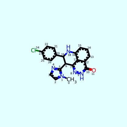 Cn1ccnc1C1c2n[nH]c(=O)c3cccc(c23)NC1c1ccc(Cl)cc1